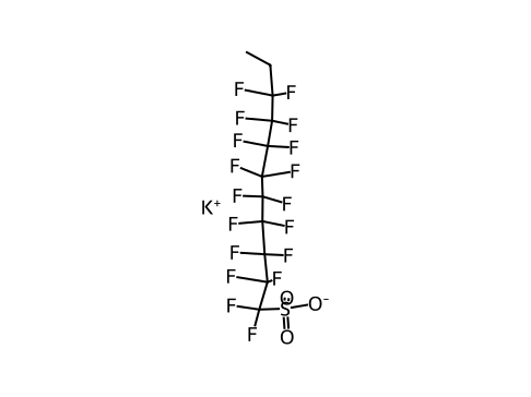 CCC(F)(F)C(F)(F)C(F)(F)C(F)(F)C(F)(F)C(F)(F)C(F)(F)C(F)(F)C(F)(F)S(=O)(=O)[O-].[K+]